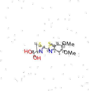 COc1cc2nc(C3=NC(C(O)O)CS3)sc2cc1OC